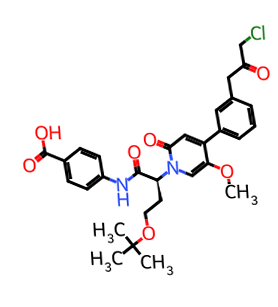 COc1cn([C@@H](CCOC(C)(C)C)C(=O)Nc2ccc(C(=O)O)cc2)c(=O)cc1-c1cccc(CC(=O)CCl)c1